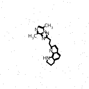 Cc1ncc(C)n2nc(CCc3ccc4ccc5c(c4n3)NCCC5)nc12